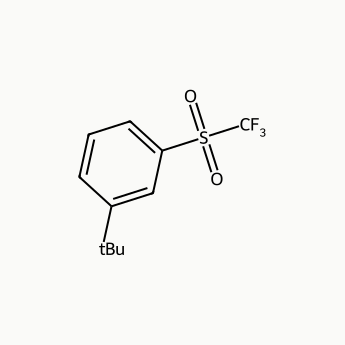 CC(C)(C)c1cccc(S(=O)(=O)C(F)(F)F)c1